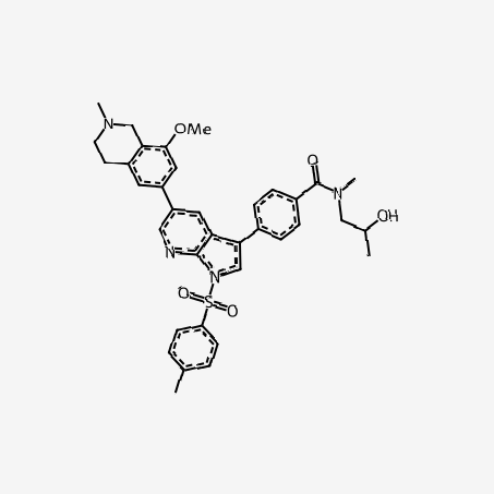 COc1cc(-c2cnc3c(c2)c(-c2ccc(C(=O)N(C)CC(C)O)cc2)cn3S(=O)(=O)c2ccc(C)cc2)cc2c1CN(C)CC2